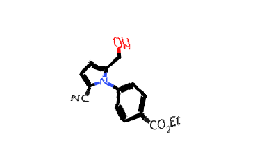 CCOC(=O)c1ccc(-n2c(C#N)ccc2CO)cc1